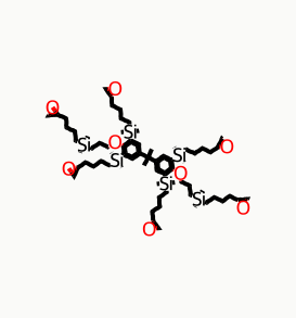 CC(C)(c1cc([Si](C)(C)CCCCC2CO2)c(OCCC[Si](C)(C)CCCCC2CO2)c([Si](C)(C)CCCCC2CO2)c1)c1cc([Si](C)(C)CCCCC2CO2)c(OCCC[Si](C)(C)CCCCC2CO2)c([Si](C)(C)CCCCC2CO2)c1